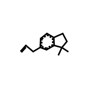 C=CCc1ccc2c(c1)C(C)(C)CC2